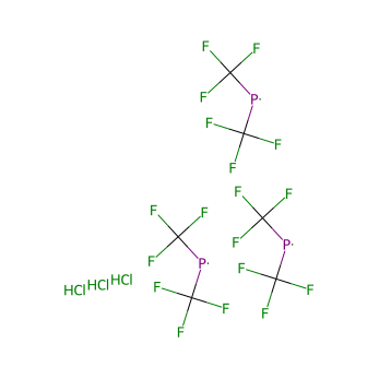 Cl.Cl.Cl.FC(F)(F)[P]C(F)(F)F.FC(F)(F)[P]C(F)(F)F.FC(F)(F)[P]C(F)(F)F